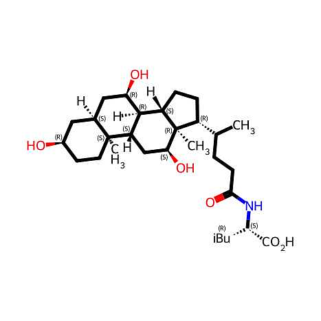 CC[C@@H](C)[C@H](NC(=O)CCC(C)[C@H]1CC[C@H]2[C@@H]3[C@H](O)C[C@@H]4C[C@H](O)CC[C@]4(C)[C@H]3C[C@H](O)[C@]12C)C(=O)O